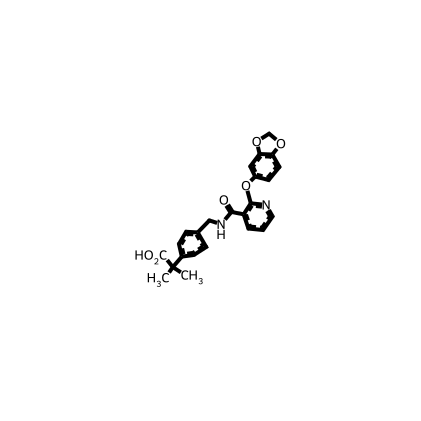 CC(C)(C(=O)O)c1ccc(CNC(=O)c2cccnc2Oc2ccc3c(c2)OCO3)cc1